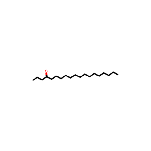 CC[CH]C(=O)CCCCCCCCCCCCCCC